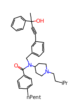 CCCCCc1ccc(C(=O)N(Cc2cccc(C#CC(C)(O)c3ccccc3)c2)C2CCN(CCC(C)C)CC2)cc1